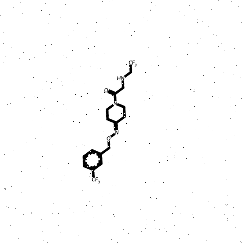 O=C(CNCC(F)(F)F)N1CCC(=NOCc2cccc(C(F)(F)F)c2)CC1